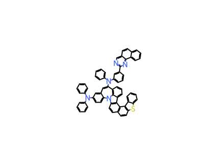 C1=C(N(c2ccccc2)c2cccc(-c3ncc4ccc5ccccc5c4n3)c2)c2cccc3c4c5c(ccc6sc7ccccc7c65)ccc4n(c23)-c2ccc(N(c3ccccc3)c3ccccc3)cc21